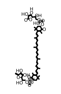 C=C1O[C@H]([C@@H](O)COP(=O)(O)OC2CC(C)(C)C(/C=C/C(C)=C/C=C/C(C)=C/C=C/C=C(C)/C=C/C=C(C)/C=C/C3=C(C)C(=O)C(OP(=O)(O)OC[C@H](O)[C@H]4OC(=O)C(O)=C4O)CC3(C)C)=C(C)C2=O)C(O)=C1O